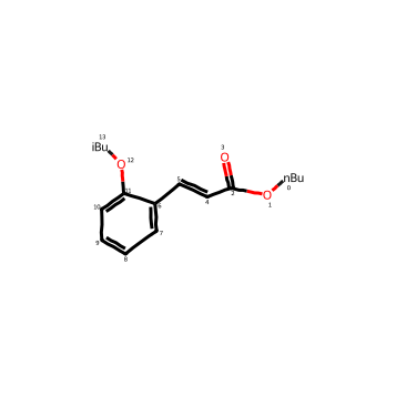 CCCCOC(=O)/C=C/c1ccccc1OC(C)CC